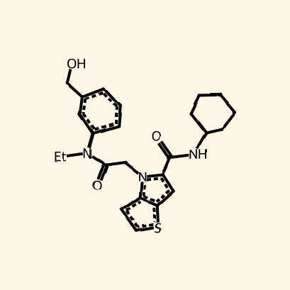 CCN(C(=O)Cn1c(C(=O)NC2CCCCC2)cc2sccc21)c1cccc(CO)c1